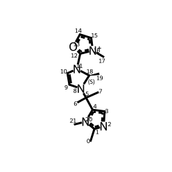 Cc1ncc(C(C)(C)N2C=CN(c3occ[n+]3C)[C@H]2C)n1C